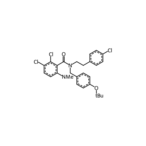 CNc1ccc(Cl)c(Cl)c1C(=O)N(CCc1ccc(Cl)cc1)Cc1ccc(OC(C)(C)C)cc1